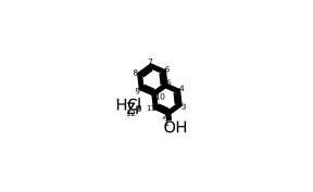 Cl.Oc1ccc2ccccc2c1.[Zr]